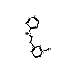 Fc1cccc(CCNc2ccccc2)c1